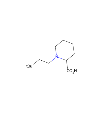 CC(C)(C)CCN1CCCCC1C(=O)O